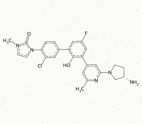 Cc1cc(-c2cc(F)cc(-c3ccc(-n4ccn(C)c4=O)c(Cl)c3)c2O)cc(N2CC[C@H](N)C2)n1